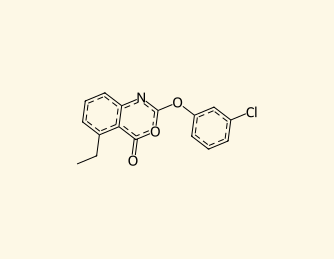 CCc1cccc2nc(Oc3cccc(Cl)c3)oc(=O)c12